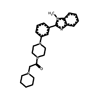 Cn1c(-c2cccc(N3CCN(C(=O)CN4CCCCC4)CC3)c2)nc2ccccc21